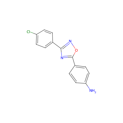 Nc1ccc(-c2nc(-c3ccc(Cl)cc3)no2)cc1